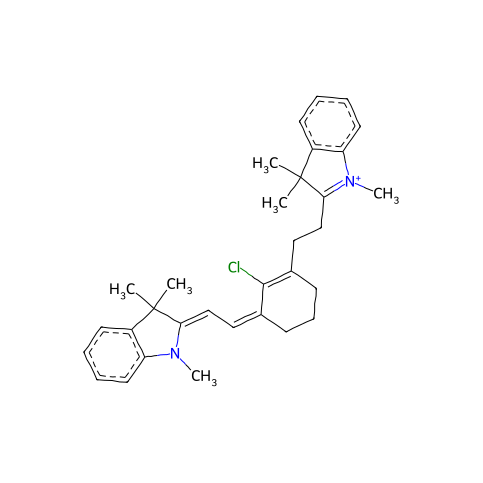 CN1C(=CC=C2CCCC(CCC3=[N+](C)c4ccccc4C3(C)C)=C2Cl)C(C)(C)c2ccccc21